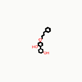 Oc1cc(OCCCCc2ccccc2)ccc1C1CCCC(O)C1